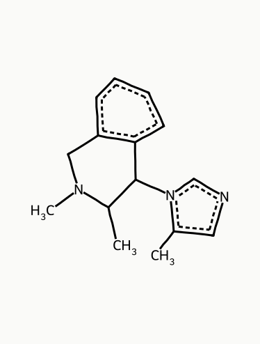 Cc1cncn1C1c2ccccc2CN(C)C1C